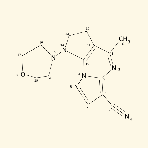 Cc1nc2c(C#N)cnn2c2c1CCN2N1CCOCC1